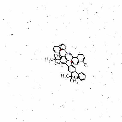 CC(C)(C)c1cc2c(cc1-c1ccccc1)Cc1c-2cc(C(C)(C)C)c(-c2ccccc2)[c]1/[Zr](=[CH]\c1cccc2c(Cl)cccc12)[C]1=CC=CC1